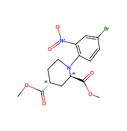 COC(=O)[C@@H]1CCN(c2ccc(Br)cc2[N+](=O)[O-])[C@@H](C(=O)OC)C1